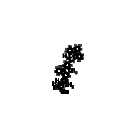 C/C=C(\C=C/C[Si](c1ccccc1)(c1ccccc1)c1ccccc1)c1ccc(-n2c3ccccc3c3cc(CC(C)(C)/C(N)=C/C(=N)C(C)(C)C)ccc32)c(C)c1